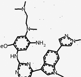 COc1cc(N(C)CCN(C)C)c(N)cc1Nc1nccc(-c2cn(C)c3cc(-c4cnn(C)c4)ccc23)n1